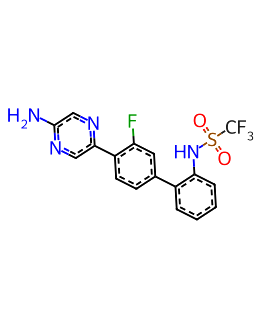 Nc1cnc(-c2ccc(-c3ccccc3NS(=O)(=O)C(F)(F)F)cc2F)cn1